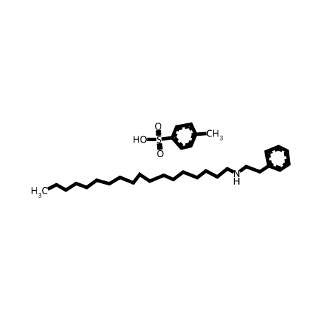 CCCCCCCCCCCCCCCCCCNCCc1ccccc1.Cc1ccc(S(=O)(=O)O)cc1